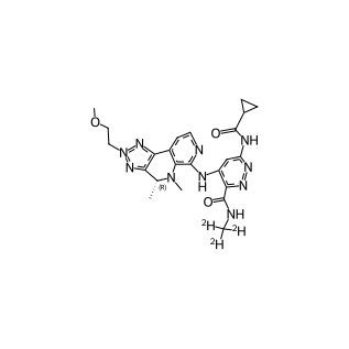 [2H]C([2H])([2H])NC(=O)c1nnc(NC(=O)C2CC2)cc1Nc1nccc2c1N(C)[C@H](C)c1nn(CCOC)nc1-2